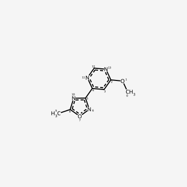 COc1cc(-c2noc(C)n2)ncn1